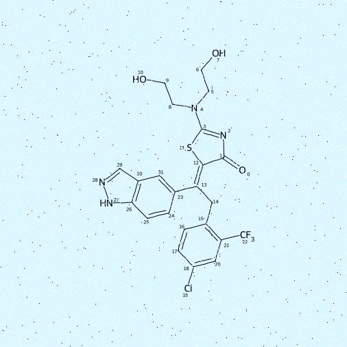 O=C1N=C(N(CCO)CCO)SC1=C(Cc1ccc(Cl)cc1C(F)(F)F)c1ccc2[nH]ncc2c1